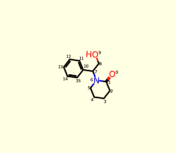 O=C1CCCCN1C(CO)c1ccccc1